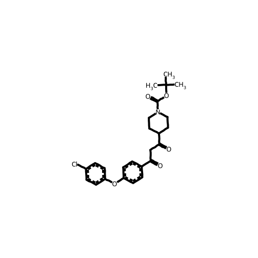 CC(C)(C)OC(=O)N1CCC(C(=O)CC(=O)c2ccc(Oc3ccc(Cl)cc3)cc2)CC1